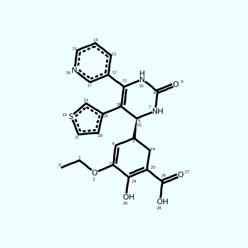 CCOC1=CC([C@@H]2NC(=O)NC(c3cccnc3)=C2c2ccsc2)CC(C(=O)O)=C1O